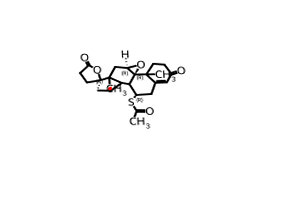 CC(=O)S[C@@H]1CC2=CC(=O)CCC2(C)[C@@]23O[C@@H]2CC2(C)C(CC[C@@]24CCC(=O)O4)C13